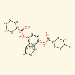 CC1CCC(C(=O)Oc2ccc(OC(=O)C3CCCCC3)c3c2C2CCC3C2)CC1